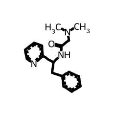 CN(C)CC(=O)NC(Cc1ccccc1)c1ccccn1